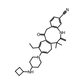 C=C1Nc2cc(C#N)ccc2CC(=O)C2=C(CC=C(N3CCC(NC4CCC4)CC3)C(CC)=C2)C1(C)C